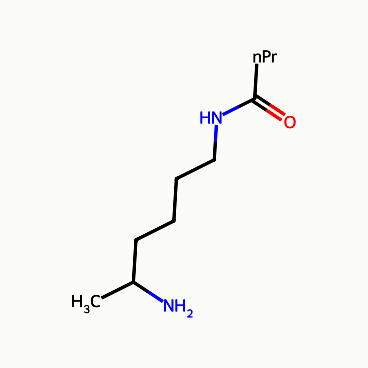 CCCC(=O)NCCCCC(C)N